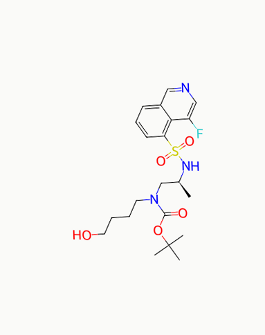 C[C@@H](CN(CCCCO)C(=O)OC(C)(C)C)NS(=O)(=O)c1cccc2cncc(F)c12